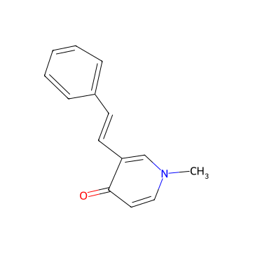 Cn1ccc(=O)c(/C=C/c2ccccc2)c1